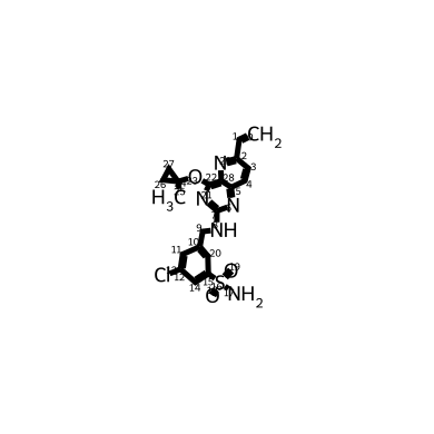 C=Cc1ccc2nc(NCc3cc(Cl)cc(S(N)(=O)=O)c3)nc(OC3(C)CC3)c2n1